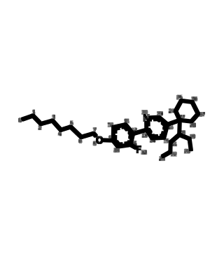 CCCCCCCCOc1ccc(-c2ccc(C3(C(CC)CCC)CCCCC3)cn2)c(F)c1